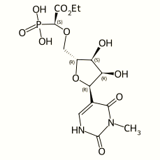 CCOC(=O)[C@@H](OC[C@H]1O[C@H](c2c[nH]c(=O)n(C)c2=O)[C@H](O)[C@@H]1O)P(=O)(O)O